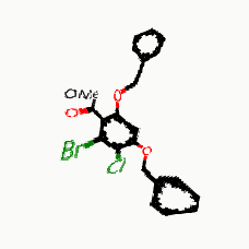 COC(=O)c1c(OCc2ccccc2)cc(OCc2ccccc2)c(Cl)c1Br